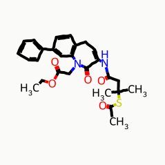 CCOC(=O)CN1C(=O)C(NC(=O)CC(C)(C)SC(C)=O)=CCc2ccc(-c3ccccc3)cc21